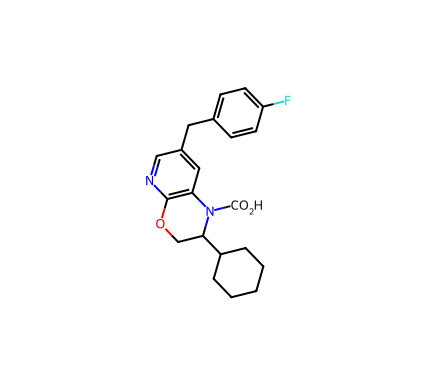 O=C(O)N1c2cc(Cc3ccc(F)cc3)cnc2OCC1C1CCCCC1